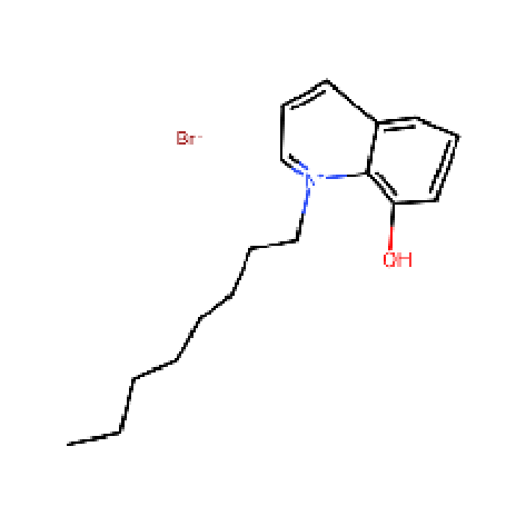 CCCCCCCC[n+]1cccc2cccc(O)c21.[Br-]